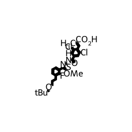 COc1sc(NC(=O)c2cc(Cl)c(C=C(C)C(=O)O)c(Cl)c2)nc1-c1cccc(CCCOCC(C)(C)C)c1F